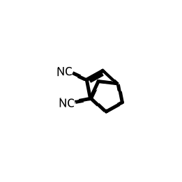 N#CC1=CC2CCC1(C#N)C2